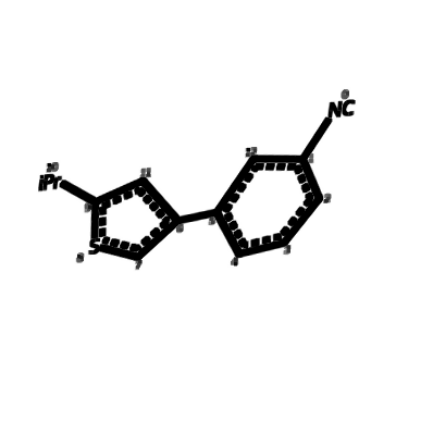 [C-]#[N+]c1cccc(-c2csc(C(C)C)c2)c1